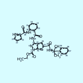 CCOC(=O)n1nc(NC(=O)c2ccccc2NC(=O)c2ccc[nH]2)c2cc(C(=O)NC(C)(C)c3ccccc3)sc21